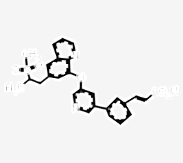 CC(Cc1cc(Oc2cncc(-c3cccc(C=CC(=O)O)c3)c2)c2ncccc2c1)S(C)(=O)=O